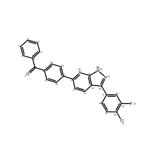 O=C(c1ccccc1)c1ccc(-c2ccc3c(-c4ccc(Cl)c(F)c4)n[nH]c3n2)cc1